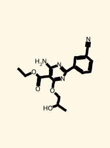 CCOC(=O)c1c(N)nc(-c2cccc(C#N)c2)nc1OCC(C)O